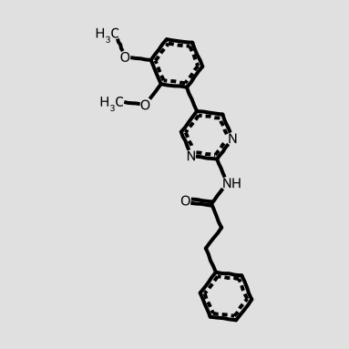 COc1cccc(-c2cnc(NC(=O)CCc3ccccc3)nc2)c1OC